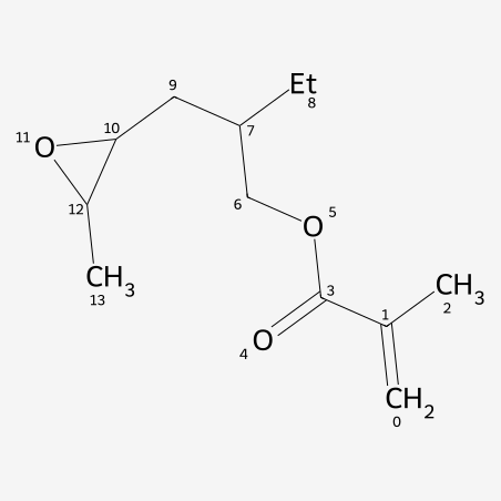 C=C(C)C(=O)OCC(CC)CC1OC1C